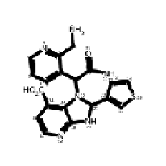 NCc1ncccc1C(C(N)=O)N1c2c(C(=O)O)ccnc2NC1c1ccsc1